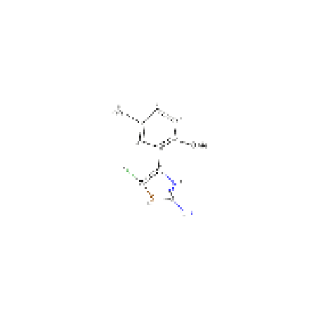 CCCc1ccc(OC)c(-c2nc(N)sc2F)c1